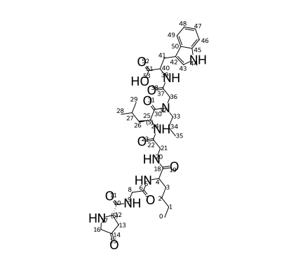 CCCCC(NC(=O)CNC(=O)[C@@H]1CC(=O)CN1)C(=O)NCC(=O)N[C@@H](CC(C)C)C(=O)N(CCC)CC(=O)NC(Cc1c[nH]c2ccccc12)C(=O)O